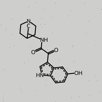 O=C(NC1CN2CCC1CC2)C(=O)c1c[nH]c2ccc(O)cc12